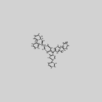 c1ccc(-c2ccc(N(c3ccc(-c4cc5ccccc5c5ccccc45)cc3)c3ccc4c(c3)oc3ccncc34)cc2)cc1